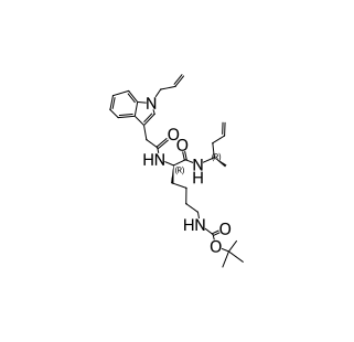 C=CC[C@@H](C)NC(=O)[C@@H](CCCCNC(=O)OC(C)(C)C)NC(=O)Cc1cn(CC=C)c2ccccc12